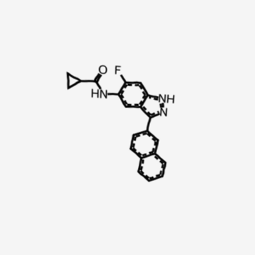 O=C(Nc1cc2c(-c3ccc4ccccc4c3)n[nH]c2cc1F)C1CC1